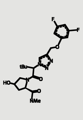 CNC(=O)[C@H]1CC(O)CN1C(=O)C(n1cc(COc2cc(F)cc(F)c2)nn1)C(C)(C)C